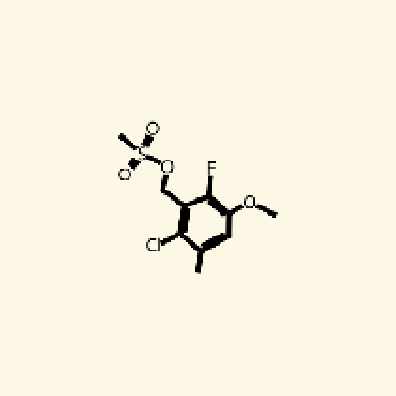 COc1cc(C)c(Cl)c(COS(C)(=O)=O)c1F